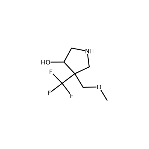 COCC1(C(F)(F)F)CNCC1O